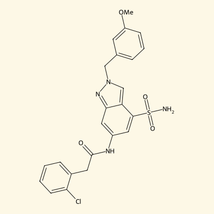 COc1cccc(Cn2cc3c(S(N)(=O)=O)cc(NC(=O)Cc4ccccc4Cl)cc3n2)c1